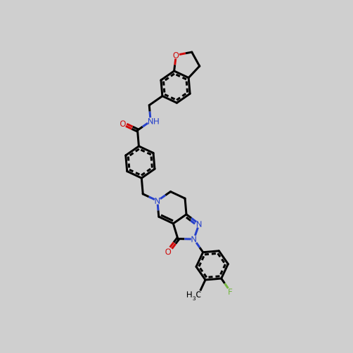 Cc1cc(N2N=C3CCN(Cc4ccc(C(=O)NCc5ccc6c(c5)OCC6)cc4)C=C3C2=O)ccc1F